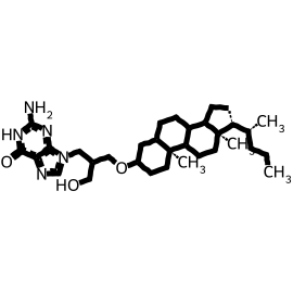 CCC[C@@H](C)[C@H]1CCC2C3CCC4CC(OCC(CO)Cn5cnc6c(=O)[nH]c(N)nc65)CC[C@]4(C)C3CC[C@@]21C